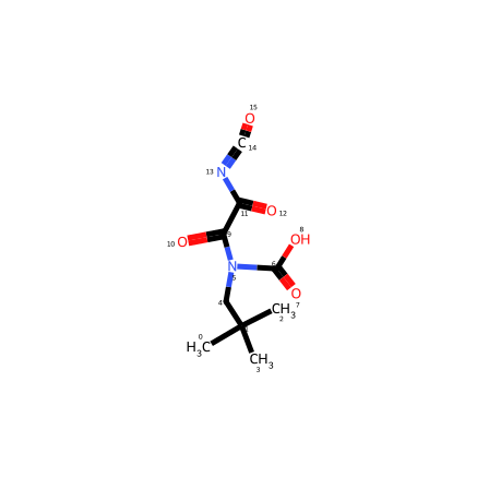 CC(C)(C)CN(C(=O)O)C(=O)C(=O)N=C=O